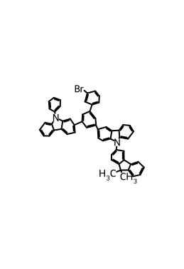 CC1(C)c2ccccc2-c2cc(-n3c4ccccc4c4cc(-c5cc(-c6cccc(Br)c6)cc(-c6ccc7c8ccccc8n(-c8ccccc8)c7c6)c5)ccc43)ccc21